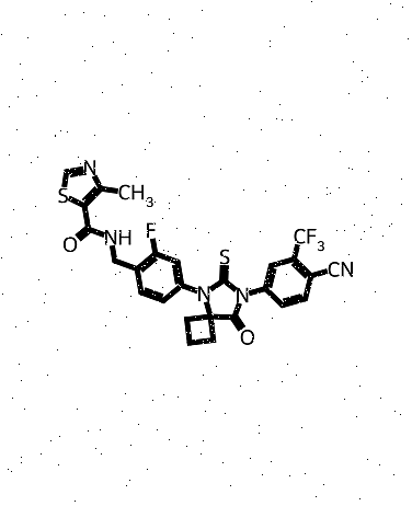 Cc1ncsc1C(=O)NCc1ccc(N2C(=S)N(c3ccc(C#N)c(C(F)(F)F)c3)C(=O)C23CCC3)cc1F